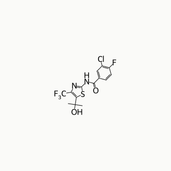 CC(C)(O)c1sc(NC(=O)c2ccc(F)c(Cl)c2)nc1C(F)(F)F